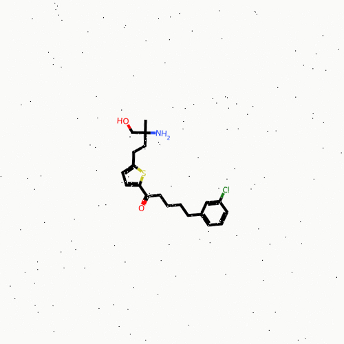 CC(N)(CO)CCc1ccc(C(=O)CCCCc2cccc(Cl)c2)s1